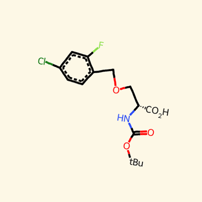 CC(C)(C)OC(=O)N[C@H](COCc1ccc(Cl)cc1F)C(=O)O